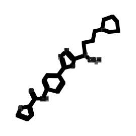 O=C(Nc1ccc(-c2nnc(N(CCCN3CCCCC3)C(=O)O)o2)cc1)c1ccco1